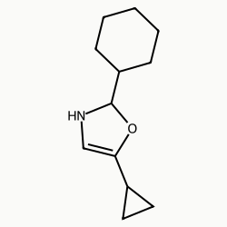 C1=C(C2CC2)OC(C2CCCCC2)N1